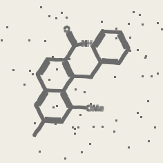 COc1cc(C)cc2ccc(C(N)=O)c(Cc3ccccc3)c12